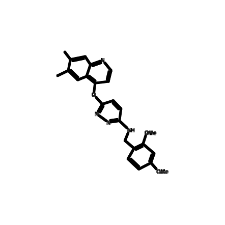 COc1ccc(CNc2ccc(Oc3ccnc4cc(C)c(C)cc34)nn2)c(OC)c1